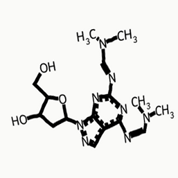 CN(C)/C=N\c1nc(/N=C/N(C)C)nc2c1cnn2C1CC(O)C(CO)O1